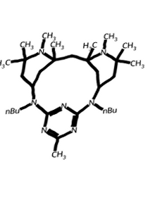 CCCCN1c2nc(C)nc(n2)N(CCCC)C2CC(C)(C)N(C)C(C)(C2)CC2(C)CC1CC(C)(C)N2C